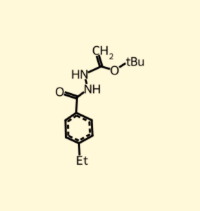 C=C(NNC(=O)c1ccc(CC)cc1)OC(C)(C)C